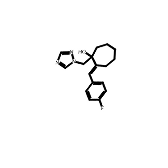 OC1(Cn2cncn2)CCCCCC1=Cc1ccc(F)cc1